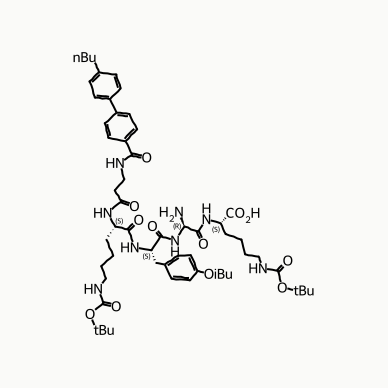 CCCCc1ccc(-c2ccc(C(=O)NCCC(=O)N[C@@H](CCCCNC(=O)OC(C)(C)C)C(=O)N[C@@H](Cc3ccc(OCC(C)C)cc3)C(=O)N[C@@H](N)C(=O)N[C@@H](CCCCNC(=O)OC(C)(C)C)C(=O)O)cc2)cc1